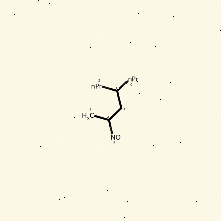 CCCC(CCC)CC(C)N=O